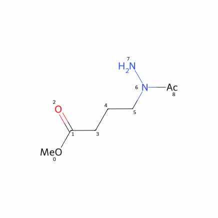 COC(=O)CCCN(N)C(C)=O